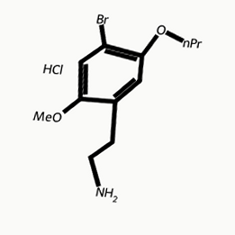 CCCOc1cc(CCN)c(OC)cc1Br.Cl